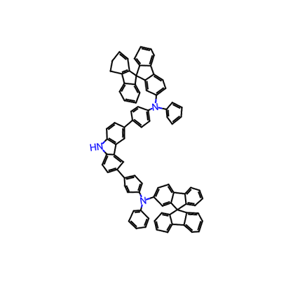 C1=CC2=C(CC1)c1ccccc1C21c2ccccc2-c2ccc(N(c3ccccc3)c3ccc(-c4ccc5[nH]c6ccc(-c7ccc(N(c8ccccc8)c8ccc9c(c8)C8(c%10ccccc%10-c%10ccccc%108)c8ccccc8-9)cc7)cc6c5c4)cc3)cc21